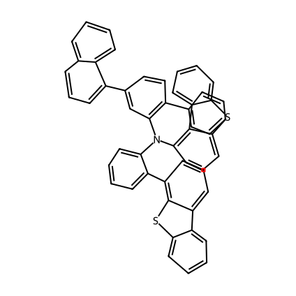 c1ccc(-c2ccc(-c3cccc4ccccc34)cc2N(c2ccccc2-c2cccc3c2sc2ccccc23)c2cccc3sc4ccccc4c23)cc1